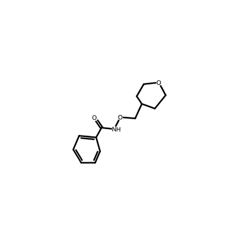 O=C(NOCC1CCOCC1)c1ccccc1